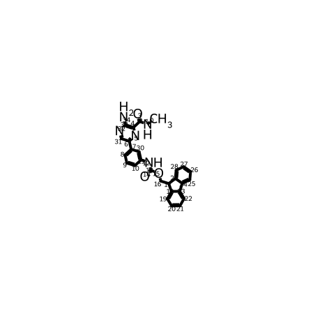 CNC(=O)c1nc(-c2cccc(NC(=O)OCC3c4ccccc4-c4ccccc43)c2)cnc1N